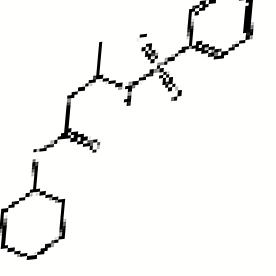 CC(CC(=O)OC1CCCCC1)NS(=O)(=O)c1ccccc1